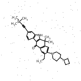 CCc1cc2c(cc1N1CCC(N3CCC3)CC1)C(C)(C)c1[nH]c3cc(C#C[Si](C)(C)C)ccc3c1C2=O